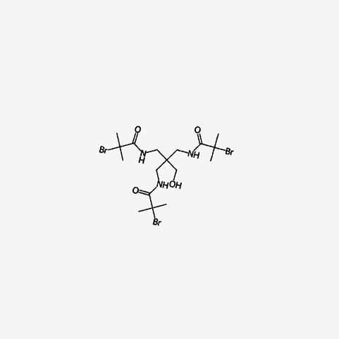 CC(C)(Br)C(=O)NCC(CO)(CNC(=O)C(C)(C)Br)CNC(=O)C(C)(C)Br